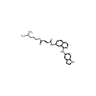 CN(C)CCCOC(=O)/C=C/C(=O)Nc1ccc2ncnc(Nc3ccc4[nH]ccc4c3)c2c1